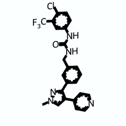 Cn1cc(-c2ccncc2)c(-c2cccc(CNC(=O)Nc3ccc(Cl)c(C(F)(F)F)c3)c2)n1